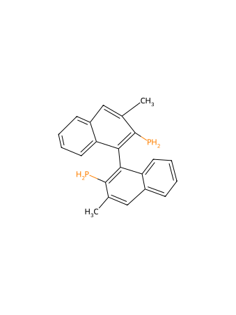 Cc1cc2ccccc2c(-c2c(P)c(C)cc3ccccc23)c1P